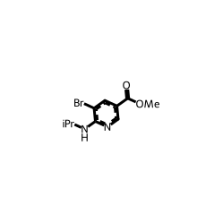 COC(=O)c1cnc(NC(C)C)c(Br)c1